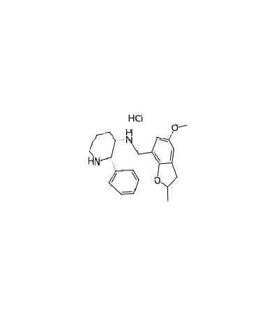 COc1cc(CN[C@H]2CCCN[C@H]2c2ccccc2)c2c(c1)CC(C)O2.Cl